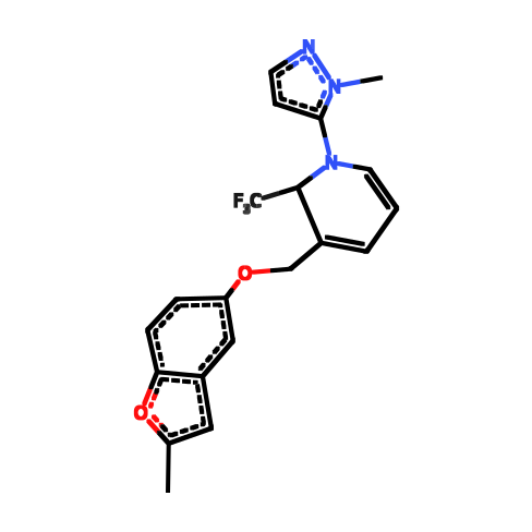 Cc1cc2cc(OCC3=CC=CN(c4ccnn4C)C3C(F)(F)F)ccc2o1